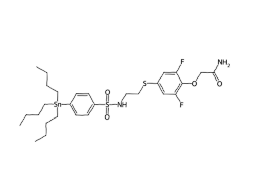 CCC[CH2][Sn]([CH2]CCC)([CH2]CCC)[c]1ccc(S(=O)(=O)NCCSc2cc(F)c(OCC(N)=O)c(F)c2)cc1